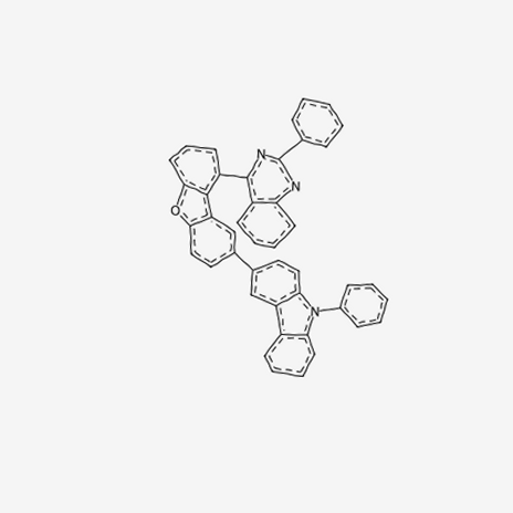 c1ccc(-c2nc(-c3cccc4oc5ccc(-c6ccc7c(c6)c6ccccc6n7-c6ccccc6)cc5c34)c3ccccc3n2)cc1